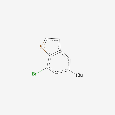 CC(C)(C)c1cc(Br)c2sccc2c1